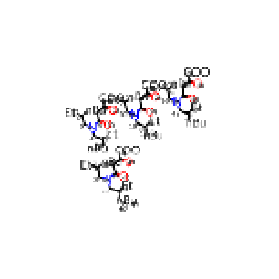 CCCCC(CC)CN(CC(CC)CCCC)C(=O)CC(=O)C(=O)[O-].CCCCC(CC)CN(CC(CC)CCCC)C(=O)CC(=O)C(=O)[O-].CCCCC(CC)CN(CC(CC)CCCC)C(=O)CC(=O)C(=O)[O-].CCCCC(CC)CN(CC(CC)CCCC)C(=O)CC(=O)C(=O)[O-].[Zr+4]